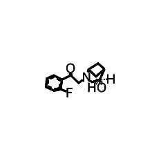 O=C(CN1C[C@H](O)C2CC1C2)c1ccccc1F